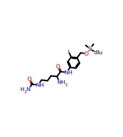 CC(C)(C)[Si](C)(C)OCc1ccc(NC(=O)C(N)CCCNC(N)=O)cc1I